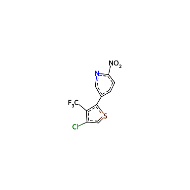 O=[N+]([O-])c1ccc(-c2scc(Cl)c2C(F)(F)F)cn1